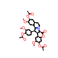 COc1cc(-c2c3c4cc(OC)c(OC(C)=O)cc4oc(=O)c3n3ccc4cc(OC(C)=O)c(OC)cc4c23)ccc1OC(C)=O